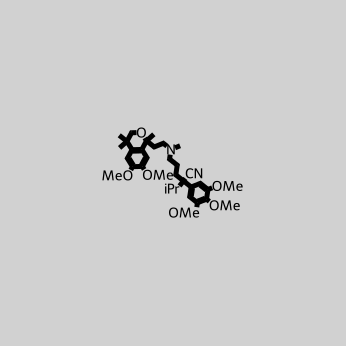 COc1cc2c(cc1OC)C(C)(CCN(C)CCCC(C#N)(c1cc(OC)c(OC)c(OC)c1)C(C)C)OCC2(C)C